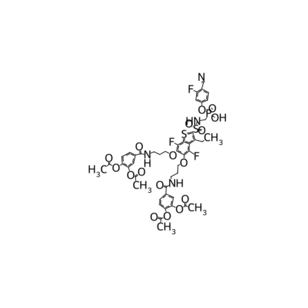 CCc1c(S(=O)(=O)NCP(=O)(O)Oc2ccc(C#N)c(F)c2)sc2c(F)c(OCCCNC(=O)c3ccc(OC(C)=O)c(OC(C)=O)c3)c(OCCCNC(=O)c3ccc(OC(C)=O)c(OC(C)=O)c3)c(F)c12